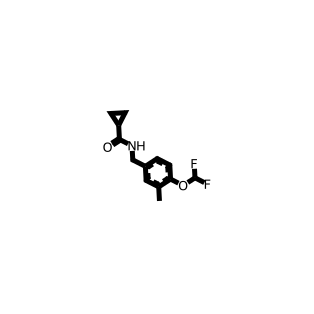 Cc1cc(CNC(=O)C2CC2)ccc1OC(F)F